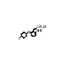 CCOC(=O)c1cc2c(Oc3ccc(F)cc3)cccc2[nH]1